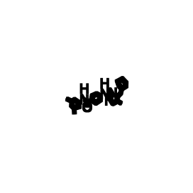 Cc1cc(C)cc(NC(=O)c2ccc(Nc3ncc(C)c(Cc4ccccc4)n3)cc2)c1